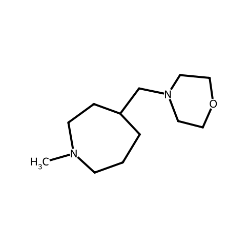 CN1CCCC(CN2CCOCC2)CC1